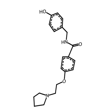 O=C(NCc1ccc(O)cc1)c1ccc(OCCN2CCCC2)cc1